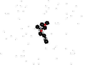 c1ccc(-c2nc(-c3cccc4c3sc3ccc(-c5nc6ccccc6s5)cc34)nc(-c3cccc4c3c3ccccc3n4-c3ccccc3)n2)cc1